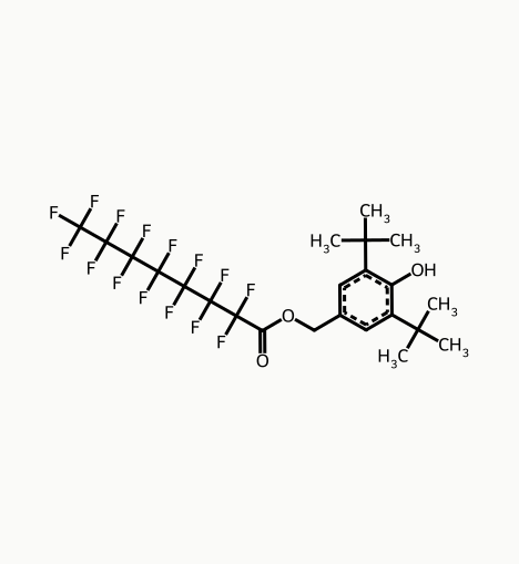 CC(C)(C)c1cc(COC(=O)C(F)(F)C(F)(F)C(F)(F)C(F)(F)C(F)(F)C(F)(F)C(F)(F)F)cc(C(C)(C)C)c1O